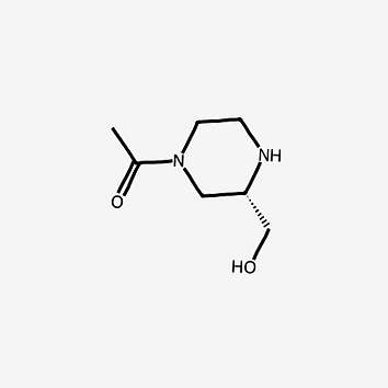 CC(=O)N1CCN[C@H](CO)C1